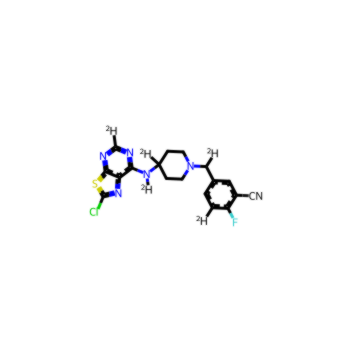 [2H]c1nc(N([2H])C2([2H])CCN(C([2H])c3cc([2H])c(F)c(C#N)c3)CC2)c2nc(Cl)sc2n1